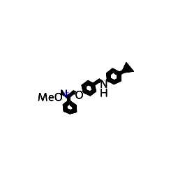 CO/N=C(/COc1ccc(CNc2ccc(C3CC3)cc2)cc1)c1ccccc1